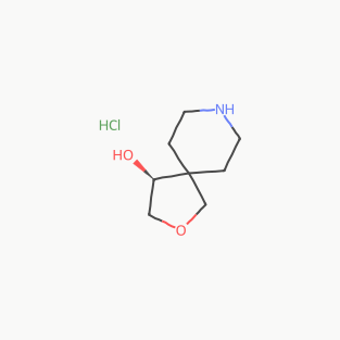 Cl.O[C@@H]1COCC12CCNCC2